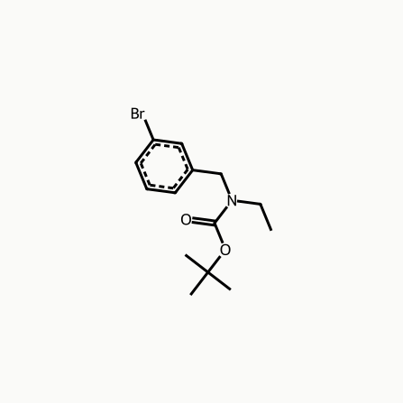 CCN(Cc1cccc(Br)c1)C(=O)OC(C)(C)C